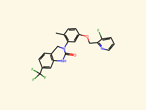 Cc1ccc(OCc2ncccc2F)cc1N1Cc2ccc(C(F)(F)F)cc2NC1=O